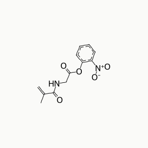 C=C(C)C(=O)NCC(=O)Oc1ccccc1[N+](=O)[O-]